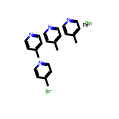 Cc1ccncc1.Cc1ccncc1.Cc1ccncc1.Cc1ccncc1.[Br-].[Br-].[Fe+2]